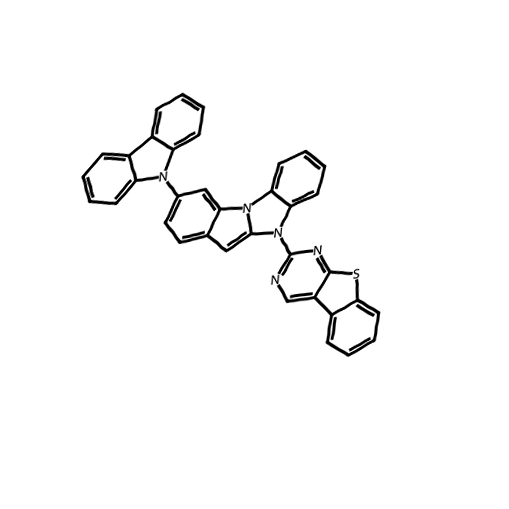 c1ccc2c(c1)sc1nc(-n3c4ccccc4n4c5cc(-n6c7ccccc7c7ccccc76)ccc5cc34)ncc12